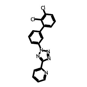 Clc1cccc(-c2cccc(-n3nnc(-c4ccccn4)n3)c2)c1Cl